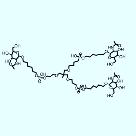 CC(=O)N[C@H]1C(O)[C@@H](O)C(CO)O[C@H]1OCCCCCCOP(=O)(O)CCCCOCC(C)(COCCCOP(=O)(O)OCCCCCCO[C@@H]1OC(CO)[C@H](O)C(O)[C@@H]1NC(C)=O)COCCCOP(=O)(O)OCCCCCCO[C@@H]1OC(CO)[C@H](O)C(O)[C@@H]1NC(C)=O